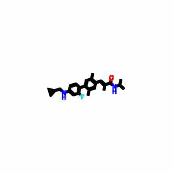 C/C(=C\c1cc(C)c(-c2ccc(NCC3CC3)cc2F)cc1C)C(=O)NC(C)C